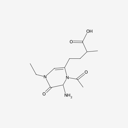 CCN1C=C(CCC(C)C(=O)O)N(C(C)=O)C(N)C1=O